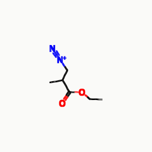 CCOC(=O)C(C)C[N+]#N